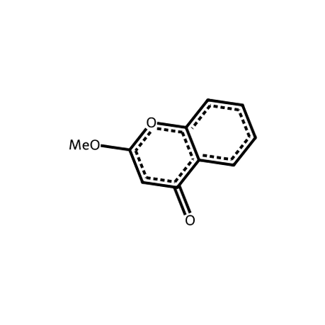 [CH2]Oc1cc(=O)c2ccccc2o1